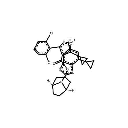 O=C(O)c1cc(C2CC2)c2nc(N3[C@@H]4CC[C@H]3C[C@@H](OC(=O)c3c(-c5c(Cl)cccc5Cl)noc3C3CC3)C4)sc2c1